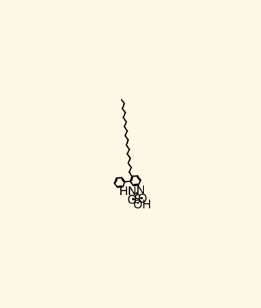 CCCCCCCCCCCCCCCCCc1ccc2nc(S(=O)(=O)O)[nH]c2c1-c1ccccc1